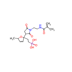 C=C(C)C(=O)NCCN1C(=O)CC(C2(CCP(=O)(O)O)C=CC(C)O2)C1=O